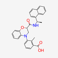 Cc1c(C(=O)O)cccc1N1CC(C(=O)N[C@H](C)c2cccc3ccccc23)Oc2ccccc21